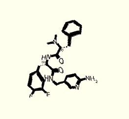 CN(C)[C@H](Cc1ccccc1)C(=O)N[C@@H](Cc1ccc(F)c(F)c1)C(=O)NCc1ccc(N)nc1